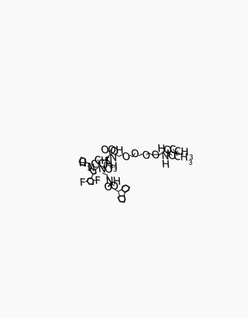 CC(C)(C)OC(=O)NCCOCCOCCOCCOCCC(=O)NC(CSCC(=O)N(CCCNC(=O)OCC1c2ccccc2-c2ccccc21)C(c1cc(-c2cc(F)ccc2F)cn1Cc1ccccc1)C(C)(C)C)C(=O)O